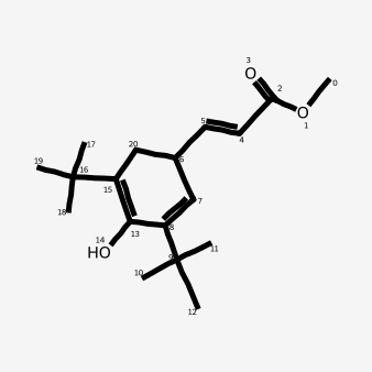 COC(=O)C=CC1C=C(C(C)(C)C)C(O)=C(C(C)(C)C)C1